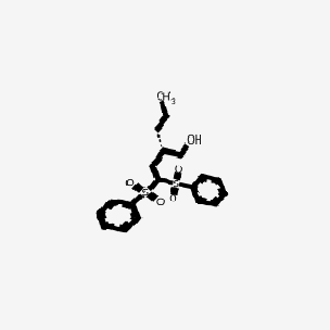 CCC[C@H](CO)CC(S(=O)(=O)c1ccccc1)S(=O)(=O)c1ccccc1